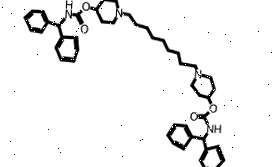 O=C(NC(c1ccccc1)c1ccccc1)OC1CCN(CCCCCCCCCN2CCC(OC(=O)NC(c3ccccc3)c3ccccc3)CC2)CC1